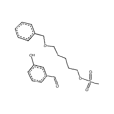 CS(=O)(=O)OCCCCCOCc1ccccc1.O=Cc1cccc(O)c1